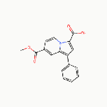 COC(=O)c1ccn2c(C(=O)O)cc(-c3ccccc3)c2c1